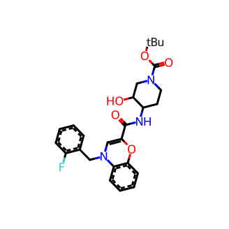 CC(C)(C)OC(=O)N1CCC(NC(=O)C2=CN(Cc3ccccc3F)c3ccccc3O2)C(O)C1